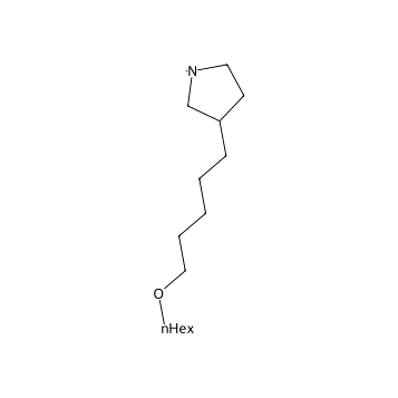 CCCCCCOCCCCCC1CC[N]C1